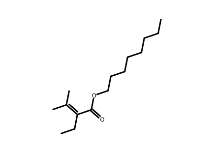 CCCCCCCCOC(=O)C(CC)=C(C)C